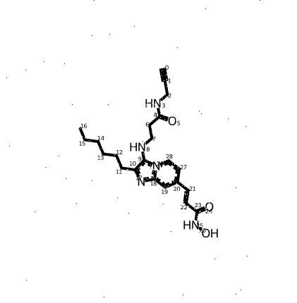 C#CCNC(=O)CCNc1c(CCCCCC)nc2cc(C=CC(=O)NO)ccn12